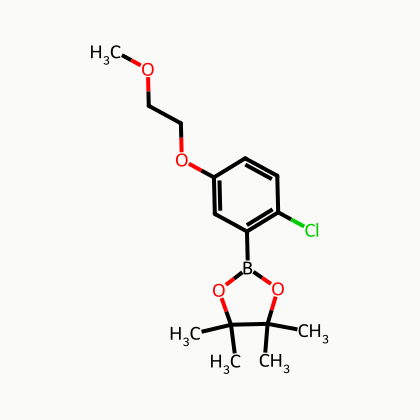 COCCOc1ccc(Cl)c(B2OC(C)(C)C(C)(C)O2)c1